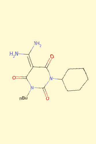 CCCCN1C(=O)C(=C(N)N)C(=O)N(C2CCCCC2)C1=O